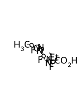 CCC1(Cn2c(Cc3ccc(-c4ccnc(OCc5ccc(C)cc5F)n4)cc3F)nc3c(F)cc(C(=O)O)cc32)CC1